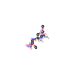 Cc1cc(CC(=O)Nc2ccc3c(F)c(N4CC(=O)NS4(O)O)c(OCc4ccccc4)cc3c2)ccc1Nc1ccc2c(c1)n(C)c(=O)n2-c1ccc(OCc2ccccc2)nc1OCc1ccccc1